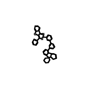 C1=CCC2C(=C1)c1c(-c3cccc(-c4cccc(-c5nc(-c6ccccc6)c6oc7ccccc7c6n5)c4)c3)cccc1C21CCCCC1